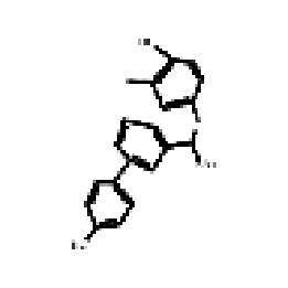 CCCCC(Oc1ccc(O)c(C)c1)c1cccc(-c2ccc(C#N)cc2)c1